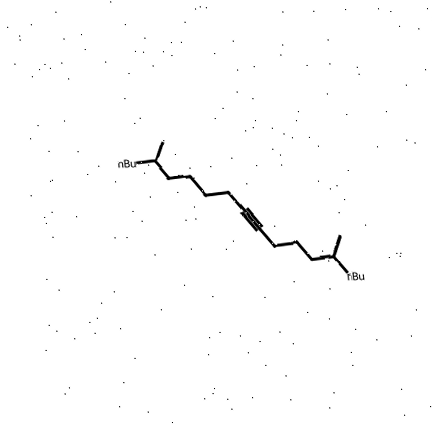 [CH2]CCCC(C)CCCC#CCCCCC(C)CCC[CH2]